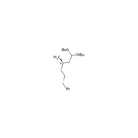 CC(C)CCC[C@@H](C)CC(OCC(C)C)OCC(C)C